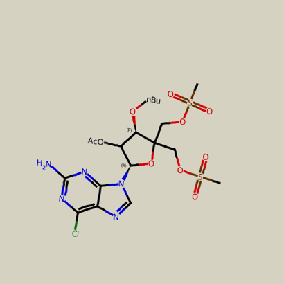 CCCCO[C@@H]1C(OC(C)=O)[C@H](n2cnc3c(Cl)nc(N)nc32)OC1(COS(C)(=O)=O)COS(C)(=O)=O